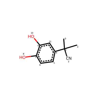 CC(C)(C#N)c1ccc(O)c(O)c1